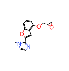 Cn1ccnc1-c1cc2c(OC[C@@H]3CO3)cccc2o1